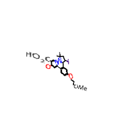 COCCCOc1ccc2c(c1)C1C(I)CC(C)(C)N1n1cc(C(=O)O)c(=O)cc1-2